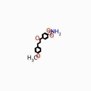 COc1ccc(CCC(=O)c2ccc(S(N)(=O)=O)cc2)cc1